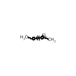 CCCCCc1ccc(-c2cnc(-c3ccc(OCCCC)c(Cl)c3)nc2)cc1